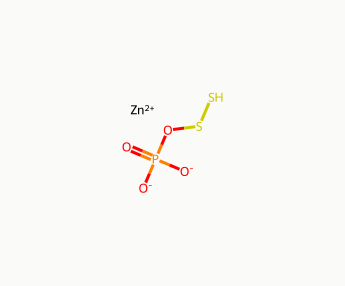 O=P([O-])([O-])OSS.[Zn+2]